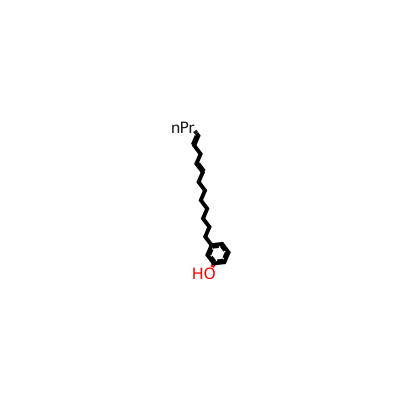 CCCC=CCC=CCCCCCCCc1cccc(O)c1